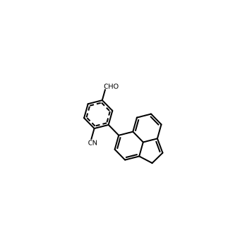 N#Cc1ccc(C=O)cc1C1=CC=C2CC=C3C=CC=C1C32